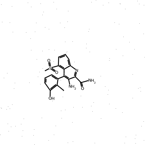 Cc1c(O)cccc1-c1c(N)c(C(N)=O)nc2cccc(S(C)(=O)=O)c12